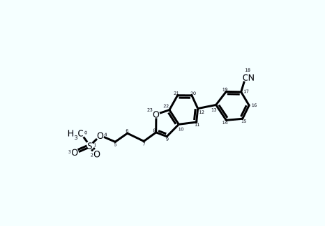 CS(=O)(=O)OCCCc1cc2cc(-c3cccc(C#N)c3)ccc2o1